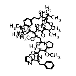 CC[C@H](C)[C@@H]([C@@H](CC(=O)N1CCC[C@H]1[C@H](OC)[C@@H](C)C(=O)N[C@@H](Cc1ccccc1)c1nccs1)OC)N(C)C(=O)[C@@H](NC(=O)[C@H](C(C)C)N(C)CCc1ccc(N(C)CC)cc1)C(C)C